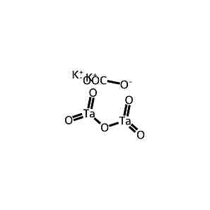 O=C([O-])[O-].[K+].[K+].[O]=[Ta](=[O])[O][Ta](=[O])=[O]